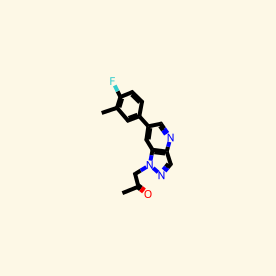 CC(=O)Cn1ncc2ncc(-c3ccc(F)c(C)c3)cc21